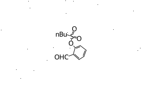 CCCCS(=O)(=O)Oc1ccccc1C=O